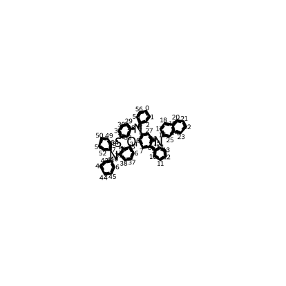 c1ccc(N(c2ccc3c4ccccc4n(-c4ccc5ccccc5c4)c3c2)c2cccc3c2Oc2cccc(N(c4ccccc4)c4ccccc4)c2S3)cc1